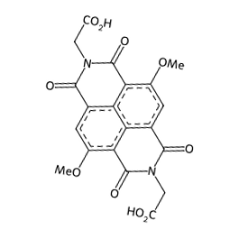 COc1cc2c3c(c(OC)cc4c3c1C(=O)N(CC(=O)O)C4=O)C(=O)N(CC(=O)O)C2=O